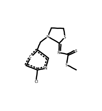 CSC(=S)N=C1SCCN1Cc1ccc(Cl)nc1